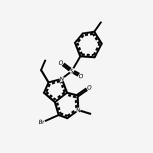 CCc1cc2c(Br)cn(C)c(=O)c2n1S(=O)(=O)c1ccc(C)cc1